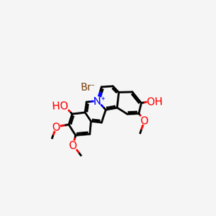 COc1cc2c(cc[n+]3cc4c(O)c(OC)c(OC)cc4cc23)cc1O.[Br-]